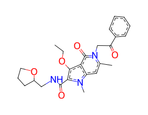 CCOc1c(C(=O)NCC2CCCO2)n(C)c2cc(C)n(CC(=O)c3ccccc3)c(=O)c12